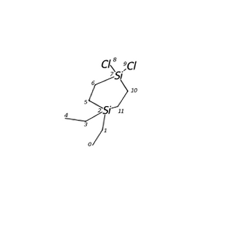 CC[Si]1(CC)CC[Si](Cl)(Cl)CC1